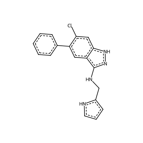 Clc1cc2[nH]nc(NCc3ccc[nH]3)c2cc1-c1ccccc1